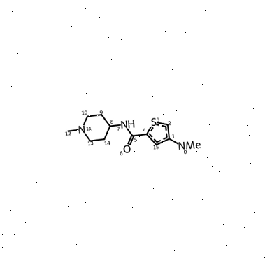 CNc1csc(C(=O)NC2CCN(C)CC2)c1